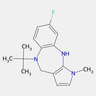 Cn1ccc2c1Nc1cc(F)ccc1N(C(C)(C)C)C2